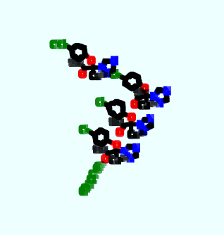 CC(C)(C)C(=O)[C]([Cu+2])(Oc1ccc(Cl)cc1)n1cncn1.CC(C)(C)C(=O)[C]([Cu+2])(Oc1ccc(Cl)cc1)n1cncn1.CC(C)(C)C(=O)[C]([Cu+2])(Oc1ccc(Cl)cc1)n1cncn1.CC(C)(C)C(=O)[C]([Cu+2])(Oc1ccc(Cl)cc1)n1cncn1.[Cl-].[Cl-].[Cl-].[Cl-].[Cl-].[Cl-].[Cl-].[Cl-]